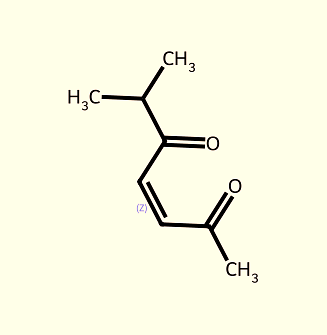 CC(=O)/C=C\C(=O)C(C)C